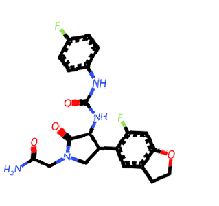 NC(=O)CN1CC(c2cc3c(cc2F)OCC3)C(NC(=O)Nc2ccc(F)cc2)C1=O